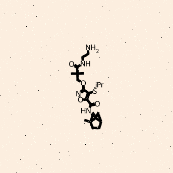 CC(C)Sc1c(OCC(C)(C)C(=O)NCCN)noc1C(=O)N[C@@H]1CC2CCC1(C)C2(C)C